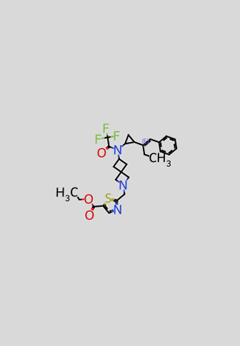 CCOC(=O)c1cnc(CN2CC3(CC(N(C(=O)C(F)(F)F)C4CC4/C(=C/c4ccccc4)CC)C3)C2)s1